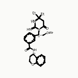 CCC1(CC)CC(=O)N([C@H](COC)c2cccc(C(=O)N[C@H]3CCOc4ccccc43)c2)C(=N)N1